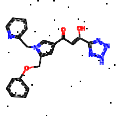 O=C(C=C(O)c1nn[nH]n1)c1cc(COc2ccccc2)n(Cc2ccccn2)c1